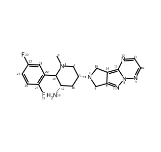 CN1C[C@H](N2Cc3nn4nccnc4c3C2)C[C@H](N)C1c1cc(F)ccc1F